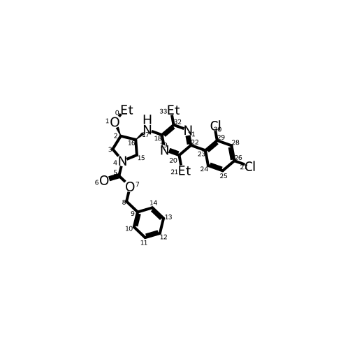 CCO[C@@H]1CN(C(=O)OCc2ccccc2)C[C@@H]1Nc1nc(CC)c(-c2ccc(Cl)cc2Cl)nc1CC